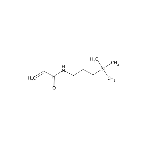 C=CC(=O)NCCC[Si](C)(C)C